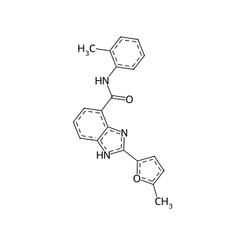 Cc1ccc(-c2nc3c(C(=O)Nc4ccccc4C)cccc3[nH]2)o1